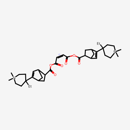 CCC1(C2=CC3CC2CC3C(=O)OC(=O)/C=C\C(=O)OC(=O)C2CC3CC2C=C3C2(CC)CC[Si](C)(C)CC2)CC[Si](C)(C)CC1